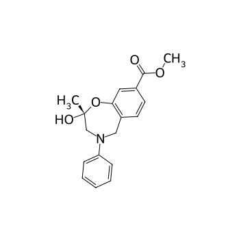 COC(=O)c1ccc2c(c1)O[C@@](C)(O)CN(c1ccccc1)C2